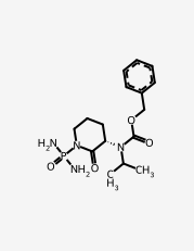 CC(C)N(C(=O)OCc1ccccc1)[C@H]1CCCN(P(N)(N)=O)C1=O